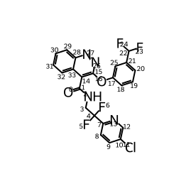 O=C(NCC(F)(F)c1ccc(Cl)cn1)c1c(Oc2cccc(C(F)F)c2)nnc2ccccc12